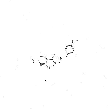 C/C=C(C(=O)N(C)CNCc1ccc(OC)cc1)\C(Cl)=N/CSC